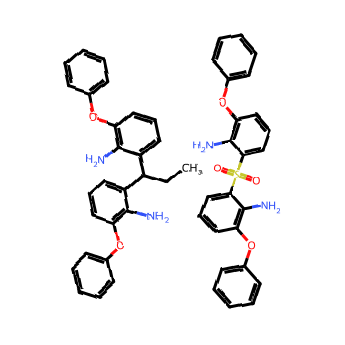 CCC(c1cccc(Oc2ccccc2)c1N)c1cccc(Oc2ccccc2)c1N.Nc1c(Oc2ccccc2)cccc1S(=O)(=O)c1cccc(Oc2ccccc2)c1N